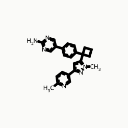 Cc1ccc(-c2cc(C3(c4ccc(-c5cnc(N)nc5)cc4)CCC3)n(C)n2)cn1